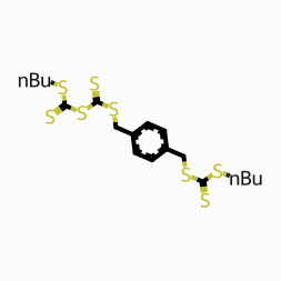 CCCCSC(=S)SCc1ccc(CSC(=S)SC(=S)SCCCC)cc1